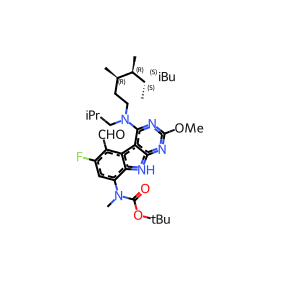 CC[C@H](C)[C@H](C)[C@H](C)[C@H](C)CCN(CC(C)C)c1nc(OC)nc2[nH]c3c(N(C)C(=O)OC(C)(C)C)cc(F)c(C=O)c3c12